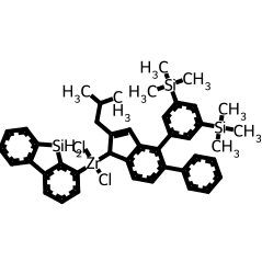 CC(C)CC1=Cc2c(ccc(-c3ccccc3)c2-c2cc([Si](C)(C)C)cc([Si](C)(C)C)c2)[CH]1[Zr]([Cl])([Cl])[c]1cccc2c1[SiH2]c1ccccc1-2